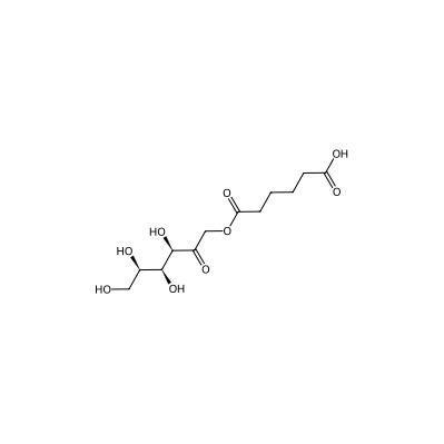 O=C(O)CCCCC(=O)OCC(=O)[C@H](O)[C@@H](O)[C@H](O)CO